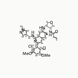 C=CC(=O)N[C@H]1COC[C@H]1Nc1cc2c(NCc3cnn(C)c3)nc(-c3c(Cl)c(OC)cc(OC)c3Cl)cc2cn1